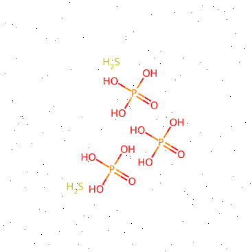 O=P(O)(O)O.O=P(O)(O)O.O=P(O)(O)O.S.S